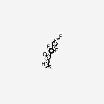 CC(=S)NCC1CN(c2cc(F)c(N3CCN(CCF)CC3)c(F)c2)C(=O)O1